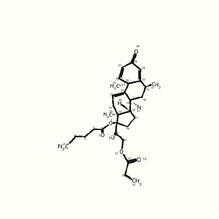 CCCCC(=O)O[C@]1(C(=O)COC(=O)CC)CC[C@H]2[C@@H]3C[C@H](C)C4=CC(=O)C=C[C@]4(C)C3=CC[C@@]21C